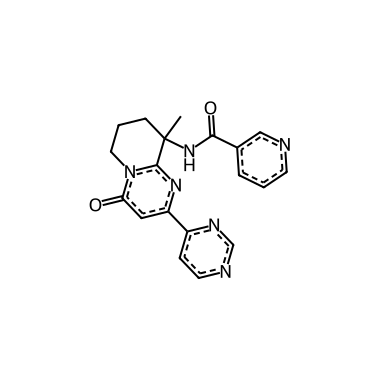 CC1(NC(=O)c2cccnc2)CCCn2c1nc(-c1ccncn1)cc2=O